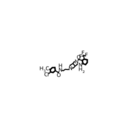 Cc1ccc(C(=O)NCCCN2CC3CN(C(=O)c4c(N)cccc4C(F)(F)F)CC3C2)cc1Cl